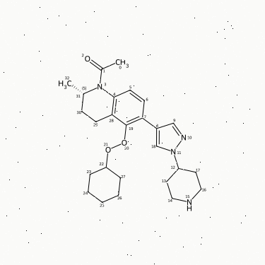 CC(=O)N1c2ccc(-c3cnn(C4CCNCC4)c3)c(OOC3CCCCC3)c2CC[C@@H]1C